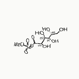 CO[Se](=O)(=O)OC(=O)[C@H](O)[C@@H](O)[C@H](O)[C@H](O)CO